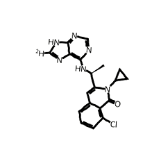 [2H]c1nc2c(N[C@@H](C)c3cc4cccc(Cl)c4c(=O)n3C3CC3)ncnc2[nH]1